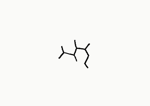 CCCC(C)C(C)C(C)C(C)C